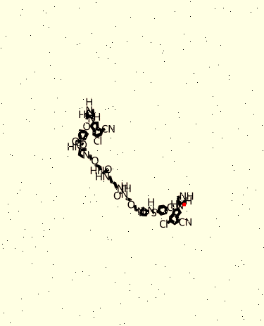 N#Cc1cc(Cl)cc2c1C[C@H](N1C[C@@H]3C[C@H]1CN3)[C@H]2Oc1ccc(SN[C@@H]2CCN(CCOCCNC(=O)NCCCCNC(=O)NCCOCCN3CC[C@@H](NS(=O)(=O)c4ccc(O[C@H]5c6cc(Cl)cc(C#N)c6C[C@@H]5N5C[C@@H]6C[C@H]5CN6)cc4)C3)C2)cc1